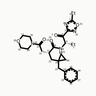 CCc1nc(C(=O)[C@H](CC)NC(=O)[C@@H](CC(=O)N2CCOCC2)CC2(Cc3ccccc3)CC2)no1